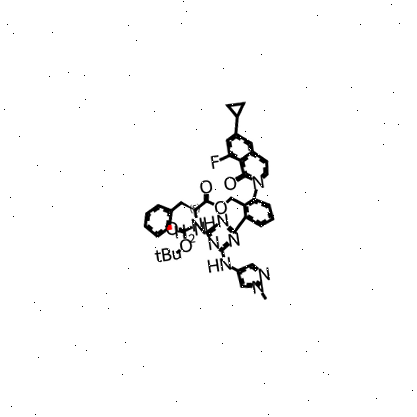 Cn1cc(Nc2nc(N)nc(-c3cccc(-n4ccc5cc(C6CC6)cc(F)c5c4=O)c3COC(=O)[C@H](Cc3ccccc3)NC(=O)OC(C)(C)C)n2)cn1